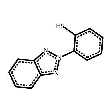 Sc1ccccc1-n1nc2ccccc2n1